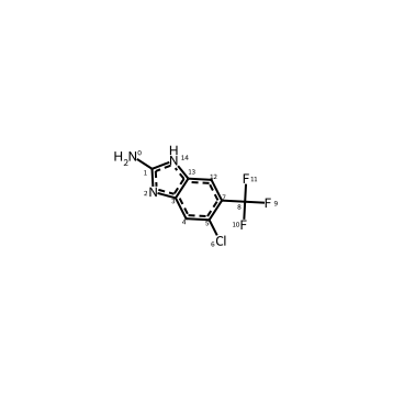 Nc1nc2cc(Cl)c(C(F)(F)F)cc2[nH]1